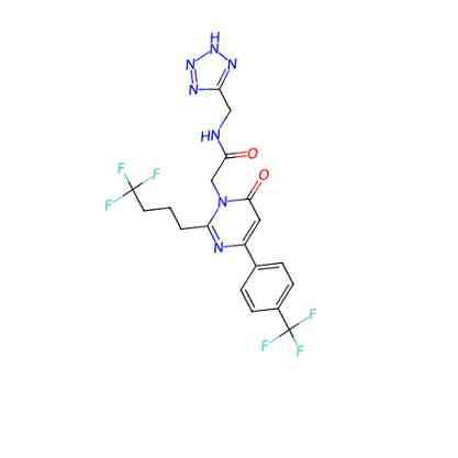 O=C(Cn1c(CCCC(F)(F)F)nc(-c2ccc(C(F)(F)F)cc2)cc1=O)NCc1nn[nH]n1